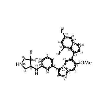 COc1cc2ncc(-c3cccc(NC4CNCC4(F)F)n3)n2cc1-c1cnn2cc(F)cc(F)c12